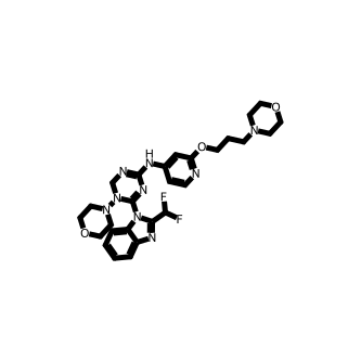 FC(F)c1nc2ccccc2n1C1=NC(Nc2ccnc(OCCCN3CCOCC3)c2)=NCN1N1CCOCC1